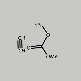 C#C.CCCOC(=O)OC